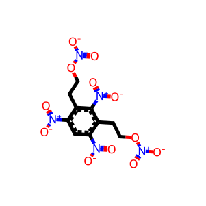 O=[N+]([O-])OCCc1c([N+](=O)[O-])cc([N+](=O)[O-])c(CCO[N+](=O)[O-])c1[N+](=O)[O-]